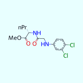 CCC[C@H](NC(=O)CNc1ccc(Cl)c(Cl)c1)C(=O)OC